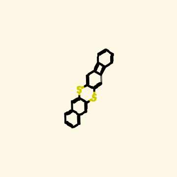 c1ccc2cc3sc4cc5c6ccccc6c5cc4sc3cc2c1